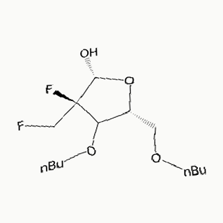 CCCCOC[C@H]1O[C@@H](O)[C@@](F)(CF)C1OCCCC